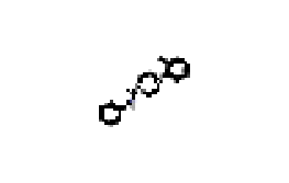 Cc1ccccc1N1CCN(/N=N/c2ccccc2)CC1